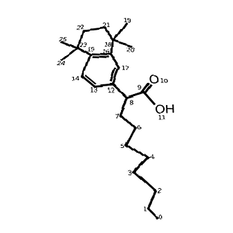 CCCCCCCCC(C(=O)O)c1ccc2c(c1)C(C)(C)CCC2(C)C